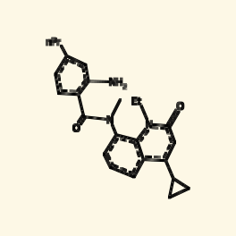 CCCc1ccc(C(=O)N(C)c2cccc3c(C4CC4)cc(=O)n(CC)c23)c(N)c1